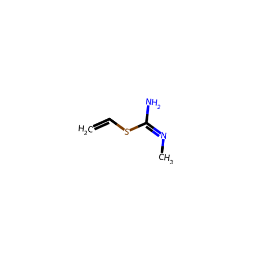 C=CS/C(N)=N\C